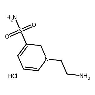 Cl.NCCN1C=CC=C(S(N)(=O)=O)C1